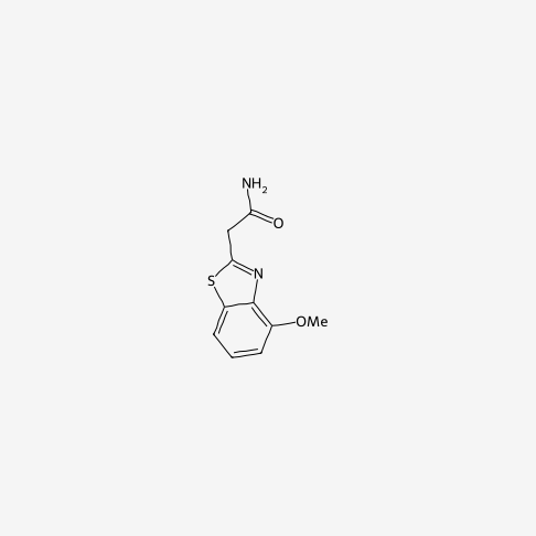 COc1cccc2sc(CC(N)=O)nc12